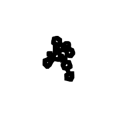 c1ccc(-c2ccc(N(c3ccc4sc5ccccc5c4c3)c3cccc4oc5c6ccccc6ncc5c34)cc2)cc1